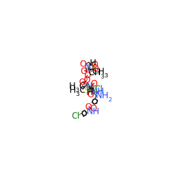 CC1(C)S[C@@H]2[C@H](NC(=O)C(N)c3ccc(OC(=O)Nc4ccc(Cl)cc4)cc3)C(=O)N2[C@H]1C(=O)OCOC(=O)[C@@H]1N2C(=O)C[C@H]2S(=O)(=O)C1(C)C.Cl